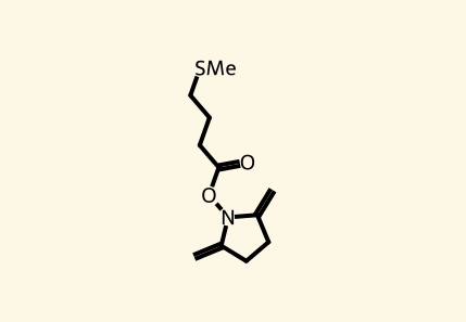 C=C1CCC(=C)N1OC(=O)CCCSC